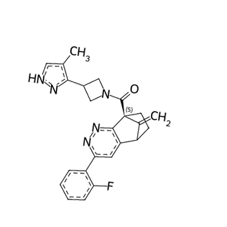 C=C1C2CC[C@@]1(C(=O)N1CC(c3n[nH]cc3C)C1)c1nnc(-c3ccccc3F)cc12